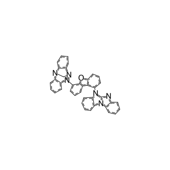 c1ccc2c(c1)nc1n(-c3cccc4oc5c(-n6c7ccccc7n7c8ccccc8n6C7)cccc5c34)c3ccccc3n21